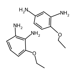 CCOc1ccc(N)cc1N.CCOc1cccc(N)c1N